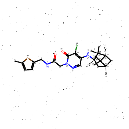 Cc1ccc(CNC(=O)Cn2ncc(N[C@@H]3C[C@@H]4C[C@H]([C@H]3C)C4(C)C)c(Br)c2=O)s1